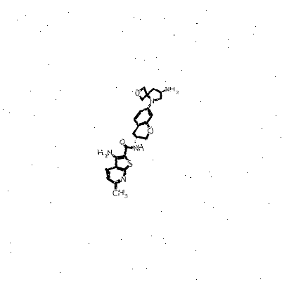 Cc1ccc2c(N)c(C(=O)N[C@H]3COc4cc(N5C[C@H](N)CC56COC6)ccc4C3)sc2n1